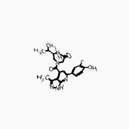 Cc1n[nH]c2nc(-c3ccc(O)c(F)c3)cc(C(=O)N3CC(=O)NC(C(C)C)C3)c12